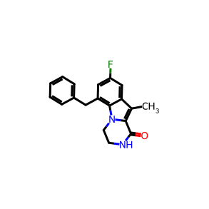 Cc1c2n(c3c(Cc4ccccc4)cc(F)cc13)CCNC2=O